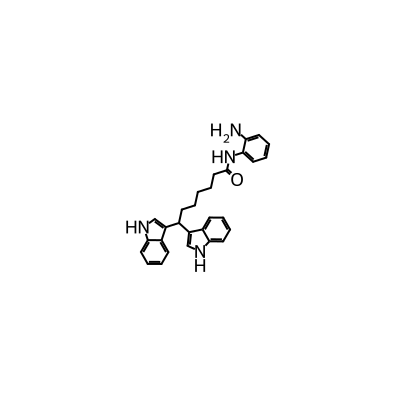 Nc1ccccc1NC(=O)CCCCCC(c1c[nH]c2ccccc12)c1c[nH]c2ccccc12